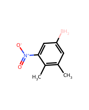 Bc1cc(C)c(C)c([N+](=O)[O-])c1